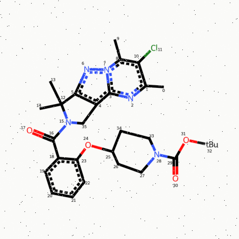 Cc1nc2c3c(nn2c(C)c1Cl)C(C)(C)N(C(=O)c1ccccc1OC1CCN(C(=O)OC(C)(C)C)CC1)C3